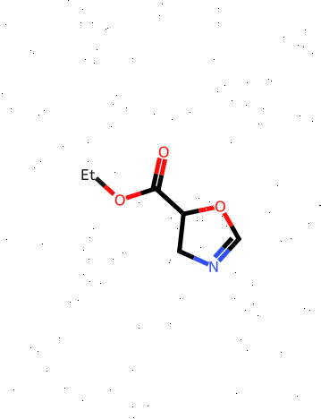 CCOC(=O)C1CN=CO1